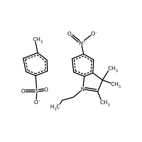 CCC[N+]1=C(C)C(C)(C)c2cc([N+](=O)[O-])ccc21.Cc1ccc(S(=O)(=O)[O-])cc1